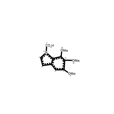 COc1cc2ccn(C(=O)O)c2c(OC)c1OC